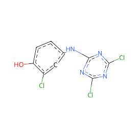 Oc1ccc(Nc2nc(Cl)nc(Cl)n2)cc1Cl